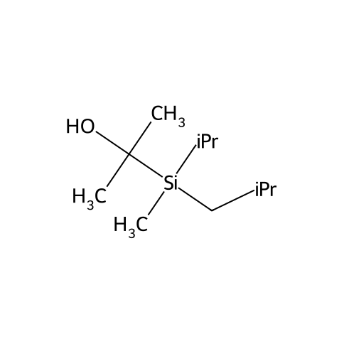 CC(C)C[Si](C)(C(C)C)C(C)(C)O